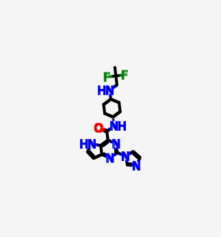 CC(F)(F)CN[C@H]1CC[C@H](NC(=O)c2nc(-n3ccnc3)nc3cc[nH]c23)CC1